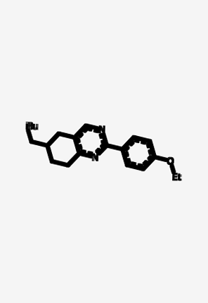 CCOc1ccc(-c2ncc3c(n2)CCC(CC(C)CC)C3)cc1